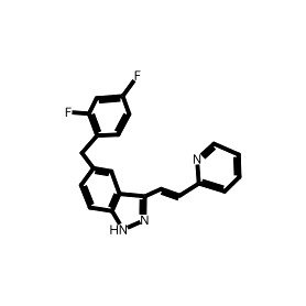 Fc1ccc(Cc2ccc3[nH]nc(C=Cc4ccccn4)c3c2)c(F)c1